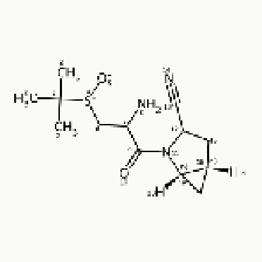 CC(C)(C)[S+]([O-])CC(N)C(=O)N1C(C#N)C[C@@H]2C[C@@H]21